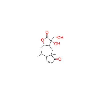 CC1CC2OC(=O)C(O)(CO)C2CC2(C)C(=O)C=CC12